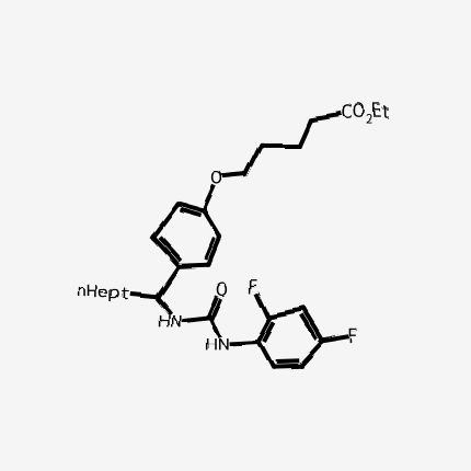 CCCCCCCC(NC(=O)Nc1ccc(F)cc1F)c1ccc(OCCCCC(=O)OCC)cc1